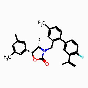 C=C(C)c1cc(-c2ccc(C(F)(F)F)cc2CN2C(=O)O[C@H](c3cc(C)cc(C(F)(F)F)c3)[C@@H]2C)ccc1F